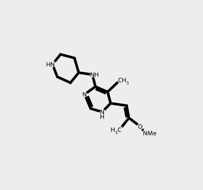 CNO/C(C)=C/C1NC=NC(NC2CCNCC2)=C1C